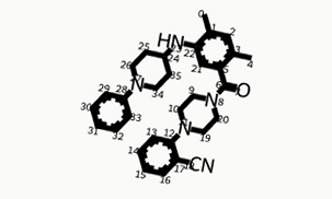 Cc1cc(C)c(C(=O)N2CCN(c3ccccc3C#N)CC2)cc1NC1CCN(c2ccccc2)CC1